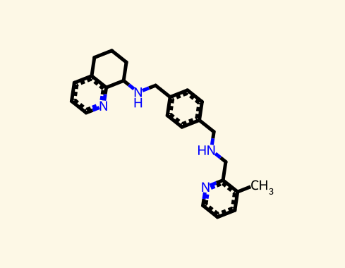 Cc1cccnc1CNCc1ccc(CNC2CCCc3cccnc32)cc1